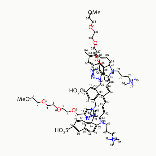 COCCOCCOCCOCc1cn(Cc2cc(C(=O)O)cc(Cn3cc(COCCOCCOCCOC)nn3)c2C(=C\C=C\C2=[N+](CCC[N+](C)(C)C)c3ccc4cc(S(=O)(=O)O)ccc4c3C2(C)C)/C=C/C=C2/N(CCC[N+](C)(C)C)c3ccc4cc(C)ccc4c3C2(C)C)nn1